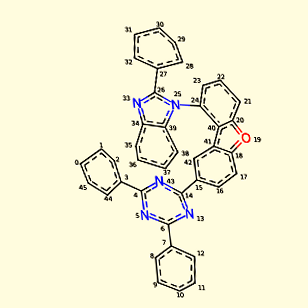 c1ccc(-c2nc(-c3ccccc3)nc(-c3ccc4oc5cccc(-n6c(-c7ccccc7)nc7ccccc76)c5c4c3)n2)cc1